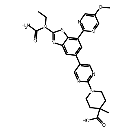 CCN(C(N)=O)c1nc2cc(-c3cnc(N4CCC(C)(C(=O)O)CC4)nc3)cc(-c3ncc(OC)cn3)c2s1